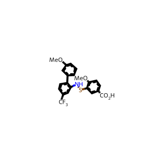 COc1cccc(-c2ccc(C(F)(F)F)cc2NSc2cc(C(=O)O)ccc2OC)c1